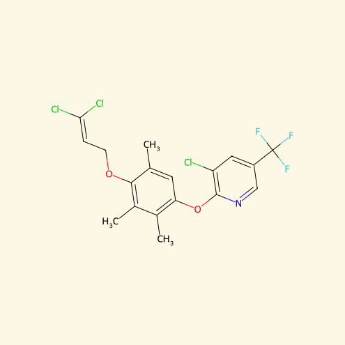 Cc1cc(Oc2ncc(C(F)(F)F)cc2Cl)c(C)c(C)c1OCC=C(Cl)Cl